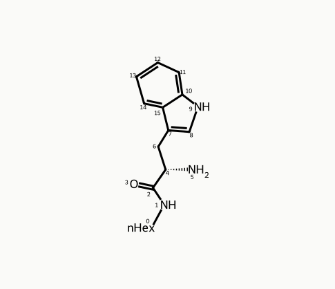 CCCCCCNC(=O)[C@@H](N)Cc1c[nH]c2ccccc12